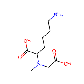 CN(CC(=O)O)C(CCCCN)C(=O)O